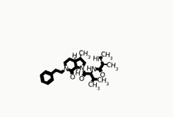 CN[C@@H](C)C(=O)N[C@H](C(=O)N1C[C@@H](C)[C@@H]2CCN(CCc3ccccc3)C(=O)[C@@H]21)C(C)C